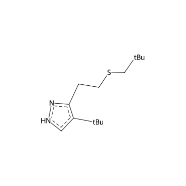 CC(C)(C)CSCCc1n[nH]cc1C(C)(C)C